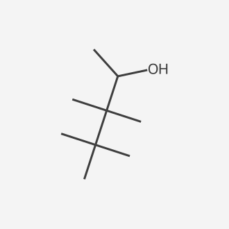 CC(O)C(C)(C)C(C)(C)C